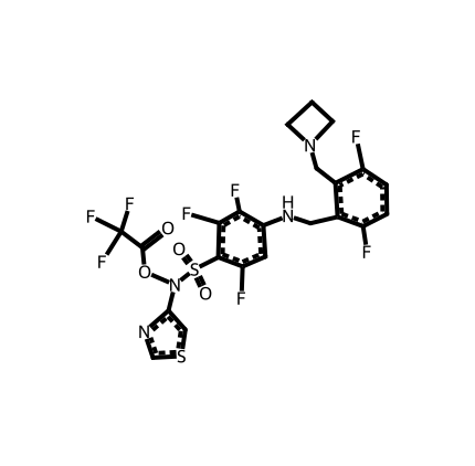 O=C(ON(c1cscn1)S(=O)(=O)c1c(F)cc(NCc2c(F)ccc(F)c2CN2CCC2)c(F)c1F)C(F)(F)F